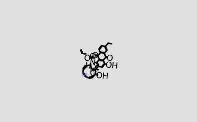 C=CCOC(=O)N1c2c(cc(O)c3c2C(=O)c2ccc(CC)cc2C3=O)[C@@]23O[C@@]2(C(C)C)[C@@H]1C#C/C=C\C#C[C@@H]3O